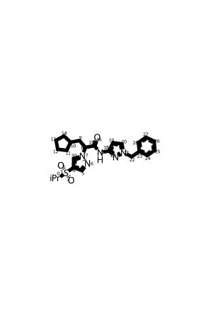 CC(C)S(=O)(=O)c1cnn(C(CC2CCCC2)C(=O)Nc2ccn(Cc3ccccc3)n2)c1